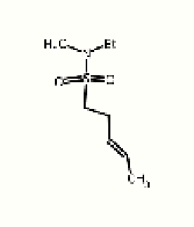 CC=CCCS(=O)(=O)N(C)CC